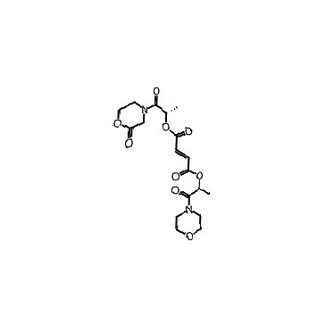 C[C@H](OC(=O)/C=C/C(=O)O[C@@H](C)C(=O)N1CCOC(=O)C1)C(=O)N1CCOCC1